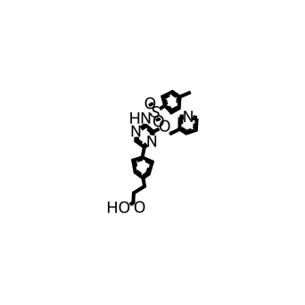 Cc1ccc(S(=O)(=O)Nc2ncc(-c3ccc(CCC(=O)O)cc3)nc2OCc2cccnc2)cc1